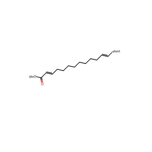 CCCCCC=CCCCCCCCC/C=C/C(=O)OC